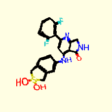 O=C1NCc2nc(-c3c(F)cccc3F)cc(Nc3ccc4c(c3)CS(O)(O)C4)c21